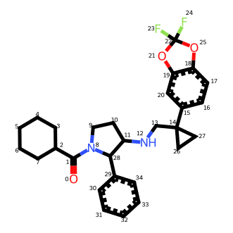 O=C(C1CCCCC1)N1CCC(NCC2(c3ccc4c(c3)OC(F)(F)O4)CC2)C1c1ccccc1